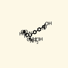 CS(=O)(=O)Nc1cc2nc(-c3ccc(-c4ccc(-c5cc(CO)on5)cc4)cc3)cc(C(=O)NN)c2cn1.Cl